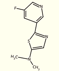 CN(C)c1cnc(-c2cncc(F)c2)s1